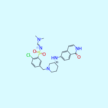 CN(C)/C=N/S(=O)(=O)c1cc(CN2CCC[C@@H](Nc3ccc4c(=O)[nH]ccc4c3)C2)ccc1Cl